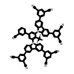 N#Cc1cccc(-c2cc(-n3c4ccc(-c5cc(C#N)cc(C#N)c5)cc4c4cc(-c5cc(C#N)cc(C#N)c5)ccc43)c(C(F)(F)F)c(-n3c4ccc(-c5cc(C#N)cc(C#N)c5)cc4c4cc(-c5cc(C#N)cc(C#N)c5)ccc43)c2)c1